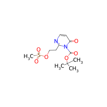 CC(C)(C)OC(=O)n1c(CCOS(C)(=O)=O)nccc1=O